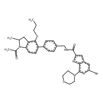 CCCOc1c(-c2ccc(CNC(=O)c3cn4cc(Br)nc(N5CCOCC5)c4n3)cc2)ccc2c1CC(C)N2C(C)=O